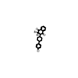 O=C1c2ccccc2C(=O)C(Br)(Br)C1C1CCC(c2ccc(Cl)cc2)CC1